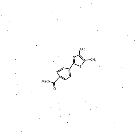 COC(=O)c1ccc(-c2nc(OC(C)=O)c(C)s2)cc1